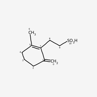 C=C1CCCC(C)=C1CCS(=O)(=O)O